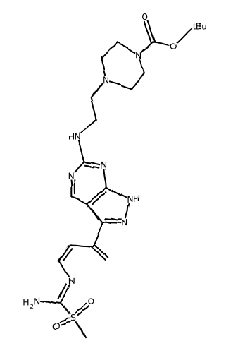 C=C(/C=C\N=C(/N)S(C)(=O)=O)c1n[nH]c2nc(NCCN3CCN(C(=O)OC(C)(C)C)CC3)ncc12